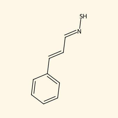 S/N=C/C=C/c1ccccc1